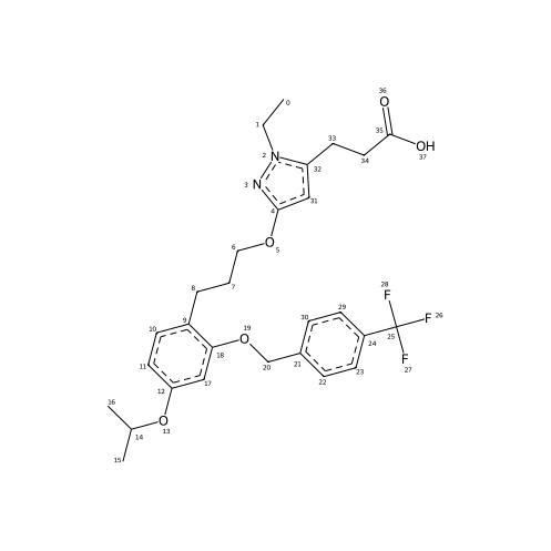 CCn1nc(OCCCc2ccc(OC(C)C)cc2OCc2ccc(C(F)(F)F)cc2)cc1CCC(=O)O